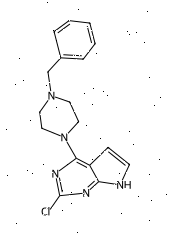 Clc1nc(N2CCN(Cc3ccccc3)CC2)c2cc[nH]c2n1